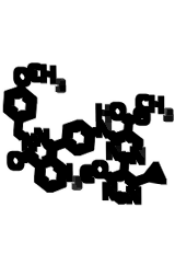 COC(=O)c1cnc(-c2c(OC)ncnc2C2CC2)nc1Nc1ccc(-c2nn(Cc3ccc(OC)cc3)c(=O)c3ccccc23)cc1